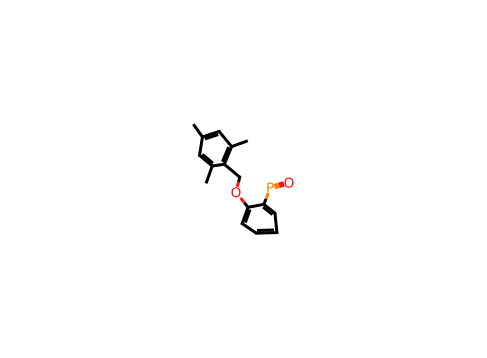 Cc1cc(C)c(COc2ccccc2P=O)c(C)c1